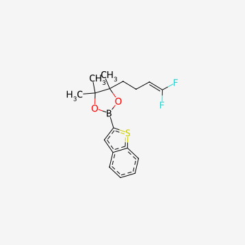 CC1(C)OB(c2cc3ccccc3s2)OC1(C)CCC=C(F)F